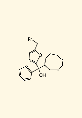 OC(c1ccccc1)(c1ncc(CBr)o1)C1CCCCCCC1